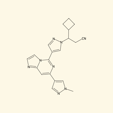 Cn1cc(-c2cc3nccn3c(-c3cnn(C(CC#N)C4CCC4)c3)n2)cn1